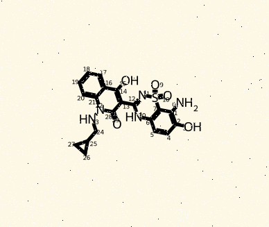 Nc1c(O)ccc2c1S(=O)(=O)N=C(c1c(O)c3ccccc3n(NCC3CC3)c1=O)N2